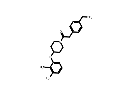 Nc1c(NC2CCN(C(=O)Cc3ccc(CC(F)(F)F)cc3)CC2)cccc1C(F)(F)F